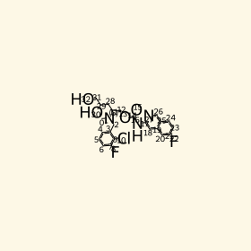 CN(Cc1cccc(F)c1Cl)[C@H](COC(=O)Nc1cc2cc(F)ccc2cn1)CC(O)CO